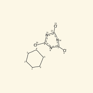 C1CCCCC1.Clc1nc(Cl)nc(Cl)n1